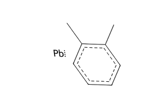 Cc1ccccc1C.[Pb]